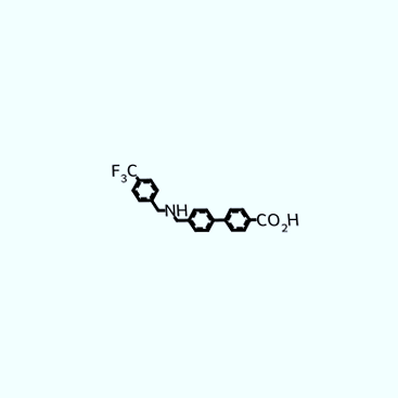 O=C(O)c1ccc(-c2ccc(CNCc3ccc(C(F)(F)F)cc3)cc2)cc1